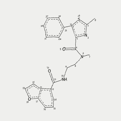 Cc1nc(C(=O)N(C)CCNC(=O)c2cccc3occc23)c(-c2ccccc2)s1